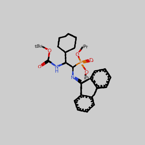 CC(C)OP(=O)(OC(C)C)C(N=C1c2ccccc2-c2ccccc21)C(NC(=O)OC(C)(C)C)C1CCCCC1